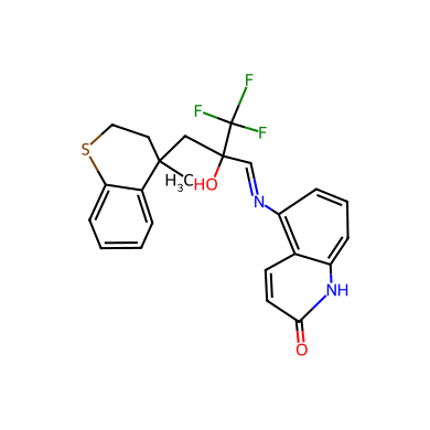 CC1(CC(O)(C=Nc2cccc3[nH]c(=O)ccc23)C(F)(F)F)CCSc2ccccc21